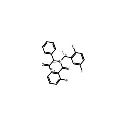 C[C@H](c1cc(F)ccc1F)N(C(=O)c1ccccc1F)[C@@H](C(N)=O)c1ccccc1